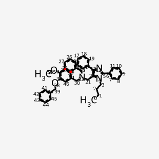 CCCCn1c(-c2ccccc2)nc(-c2ccccc2)c1CN(Cc1ccccc1)Cc1ccc(OC)c(OCc2ccccc2)c1